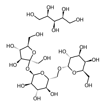 OC[C@@H](O)[C@H](O)[C@@H](O)CO.OC[C@H]1O[C@H](OC[C@H]2O[C@H](O[C@]3(CO)O[C@H](CO)[C@@H](O)[C@@H]3O)[C@H](O)[C@@H](O)[C@@H]2O)[C@H](O)[C@@H](O)[C@H]1O